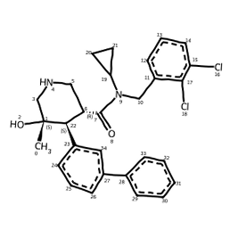 C[C@@]1(O)CNC[C@H](C(=O)N(Cc2cccc(Cl)c2Cl)C2CC2)[C@H]1c1cccc(-c2ccccc2)c1